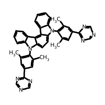 Cc1cc(-c2ncncn2)cc(C)c1-n1c2ccccc2c2c3c4ccccc4n(-c4c(C)cc(-c5ncncn5)cc4C)c3ccc21